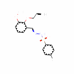 C=CCOc1c(C=NNS(=O)(=O)c2ccc(C)cc2)cccc1OC